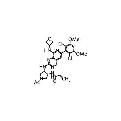 C=CC(=O)N[C@H]1CN(C(C)=O)C[C@H]1Nc1ncc2cc(-c3c(Cl)c(OC)cc(OC)c3Cl)nc(NC3COC3)c2n1